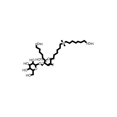 CCCCCCCCCCCCCCCCC[Si](C)(C)CCCCCCC/C(F)=C\[C@@H](COC1OC(CO)C(O)C(O)C1O)[C@H](O)[C@H](O)CCCCCCCCCCCCCC